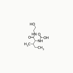 CCC(C)C(NC(=O)O)C(=O)NCCO